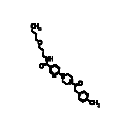 CCCCOCCCNC(=O)c1ccc(N2CCN(C(=O)Cc3ccc(C)cc3)CC2)nc1